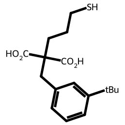 CC(C)(C)c1cccc(CC(CCCS)(C(=O)O)C(=O)O)c1